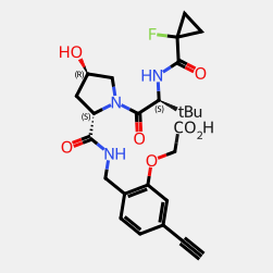 C#Cc1ccc(CNC(=O)[C@@H]2C[C@@H](O)CN2C(=O)[C@@H](NC(=O)C2(F)CC2)C(C)(C)C)c(OCC(=O)O)c1